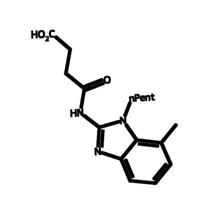 CCCCCn1c(NC(=O)CCC(=O)O)nc2cccc(C)c21